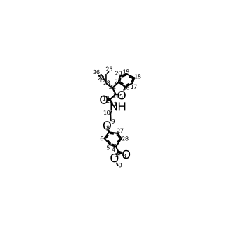 COC(=O)c1ccc(OCCNC(=O)C2Oc3ccccc3C2CN(C)C)cc1